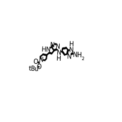 CC(C)(C)OC(=O)N1CC=C(c2cc3c(Nc4ccc5[nH]c(N)nc5c4)ncnc3[nH]2)CC1